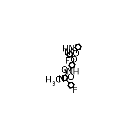 Cn1cc(C(=O)Nc2ccc(Oc3ccnc4c3Oc3ccccc3N4)c(F)c2)c(=O)c(-c2ccc(F)cc2)c1